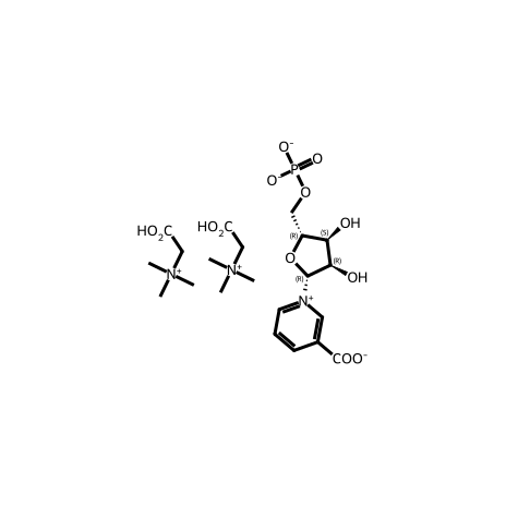 C[N+](C)(C)CC(=O)O.C[N+](C)(C)CC(=O)O.O=C([O-])c1ccc[n+]([C@@H]2O[C@H](COP(=O)([O-])[O-])[C@@H](O)[C@H]2O)c1